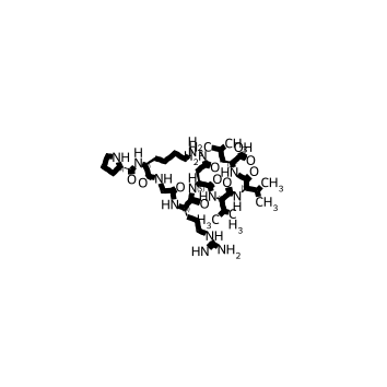 CC(C)C[C@H](NC(=O)[C@@H](NC(=O)[C@@H](NC(=O)[C@H](CC(N)=O)NC(=O)[C@H](CCCNC(=N)N)NC(=O)CNC(=O)[C@H](CCCCN)NC(=O)[C@@H]1CCCN1)C(C)C)C(C)C)C(=O)O